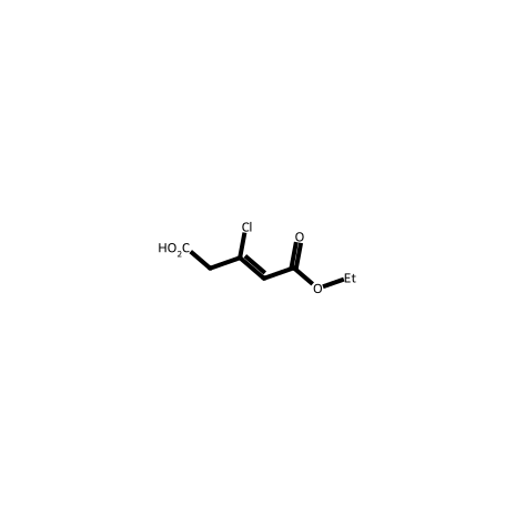 CCOC(=O)C=C(Cl)CC(=O)O